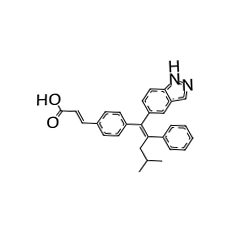 CC(C)CC(=C(c1ccc(C=CC(=O)O)cc1)c1ccc2[nH]ncc2c1)c1ccccc1